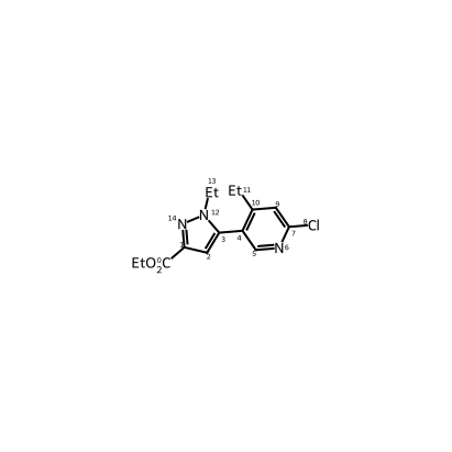 CCOC(=O)c1cc(-c2cnc(Cl)cc2CC)n(CC)n1